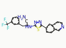 NC[C@H](Cc1cccc(C(F)(F)F)c1)Nc1nnc(-c2ccc3cnccc3c2)s1